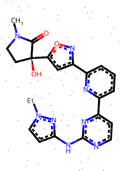 CCn1ccc(Nc2nccc(-c3cccc(-c4cc([C@]5(O)CCN(C)C5=O)on4)n3)n2)n1